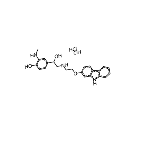 CNc1cc(C(O)CNCCOc2ccc3c(c2)[nH]c2ccccc23)ccc1O.Cl.Cl